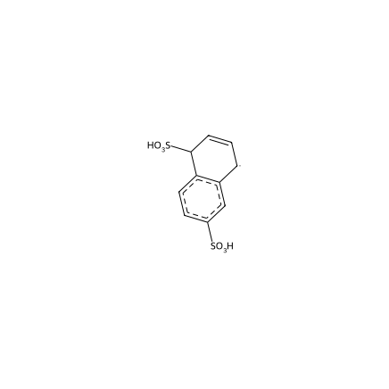 O=S(=O)(O)c1ccc2c(c1)[CH]C=CC2S(=O)(=O)O